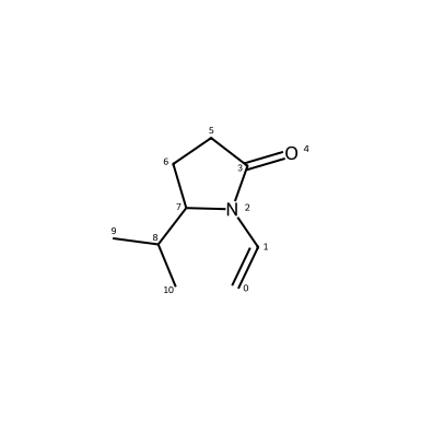 C=CN1C(=O)CCC1C(C)C